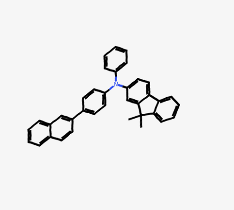 CC1(C)c2ccccc2-c2ccc(N(c3ccccc3)c3ccc(-c4ccc5ccccc5c4)cc3)cc21